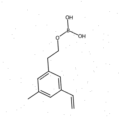 C=Cc1cc(C)cc(CCOB(O)O)c1